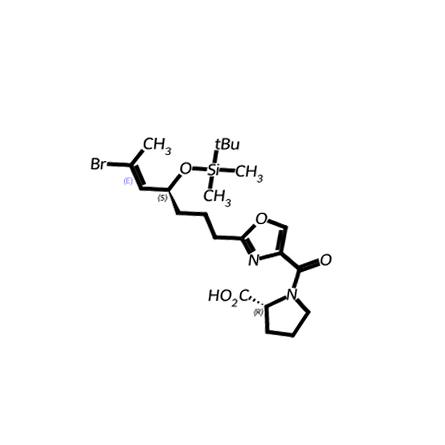 C/C(Br)=C\[C@H](CCCc1nc(C(=O)N2CCC[C@@H]2C(=O)O)co1)O[Si](C)(C)C(C)(C)C